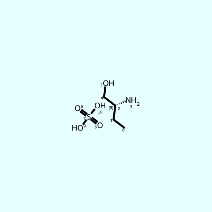 CC[C@@H](N)CO.O=S(=O)(O)O